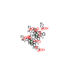 CCC(=O)O.CCC(=O)O.CCC(=O)OCC(=O)[C@@]1(OC(=O)CC)[C@@H](C)C[C@H]2[C@@H]3CCC4=CC(=O)C=C[C@]4(C)C3(F)[C@@H](O)C[C@@]21C.CCC(=O)OCC(=O)[C@@]1(OC(=O)CC)[C@@H](C)C[C@H]2[C@@H]3CCC4=CC(=O)C=C[C@]4(C)C3(F)[C@@H](OC(=O)c3ccccc3)C[C@@]21C